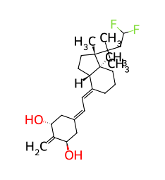 C=C1[C@H](O)CC(=C/C=C2\CCC[C@@]3(C)[C@H]2CC[C@]3(C)C(C)(C)CC(F)F)C[C@H]1O